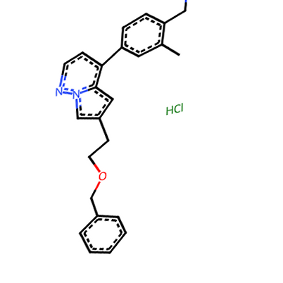 Cc1cc(-c2ccnn3cc(CCOCc4ccccc4)cc23)ccc1CN.Cl